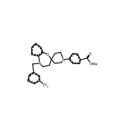 COC(=O)c1ccc(N2CCC3(CC2)CCN(Cc2cccc(C(F)(F)F)c2)c2ccccc2O3)cc1